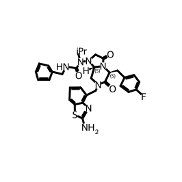 CC(C)N(C(=O)NCc1ccccc1)N1CC(=O)N2[C@@H](Cc3ccc(F)cc3)C(=O)N(Cc3cccc4sc(N)nc34)C[C@@H]21